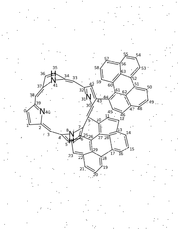 C1=Cc2cc3ccc([nH]3)c(-c3ccc4cccc5c6cccc7cccc(c3c45)c76)c3nc(cc4ccc(cc1n2)[nH]4)C=C3c1ccc2cccc3c4cccc5cccc(c1c23)c54